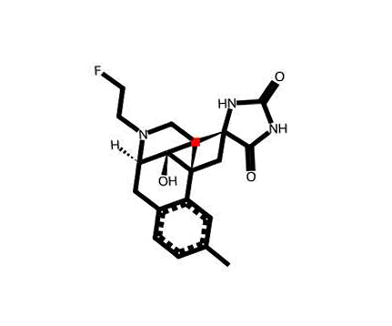 Cc1ccc2c(c1)[C@]13CCN(CCF)[C@H](C2)[C@]1(O)CC[C@@]1(C3)NC(=O)NC1=O